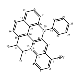 CC(C)c1cccc2c1cc1c3[n+]2C(C)C(C)c2ccc4cccc(c4c2-3)N1c1ccccc1